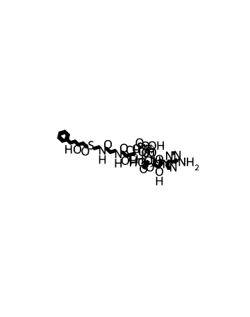 CC(C)(COP(=O)(O)OP(=O)(O)OC[C@H]1O[C@@H](n2cnc3c(N)ncnc32)[C@H](O)[C@@H]1OP(=O)(O)O)[C@@H](O)C(=O)NCCC(=O)NCCSC(=O)C[C@H](O)CCc1ccccc1